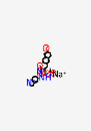 CC(=O)O.COc1ccc2cc(C=C3SC(Nc4ccc5[n-]ccc5c4)=NC3=O)ccc2c1.[Na+]